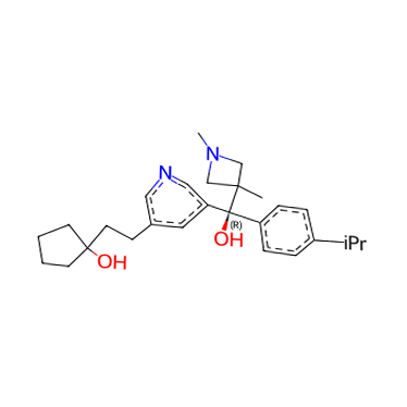 CC(C)c1ccc([C@](O)(c2cncc(CCC3(O)CCCC3)c2)C2(C)CN(C)C2)cc1